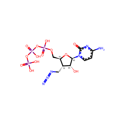 [N-]=[N+]=NC[C@H]1[C@@H](O)[C@H](n2ccc(N)nc2=O)O[C@@H]1COP(=O)(O)OP(=O)(O)OP(=O)(O)O